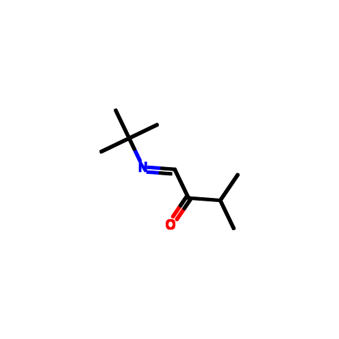 CC(C)C(=O)C=NC(C)(C)C